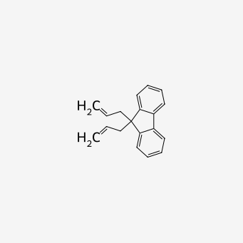 C=CCC1(CC=C)c2ccccc2-c2ccccc21